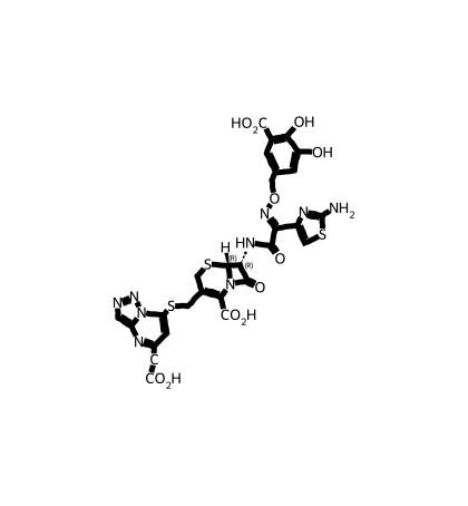 Nc1nc(C(=NOCc2cc(O)c(O)c(C(=O)O)c2)C(=O)N[C@@H]2C(=O)N3C(C(=O)O)=C(CSc4cc(CC(=O)O)nc5cnnn45)CS[C@H]23)cs1